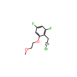 COCCOc1cc(F)cc(F)c1[CH2][Zn][Br]